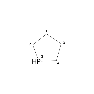 C1CCPC1